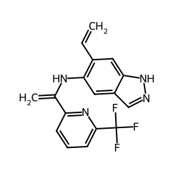 C=Cc1cc2[nH]ncc2cc1NC(=C)c1cccc(C(F)(F)F)n1